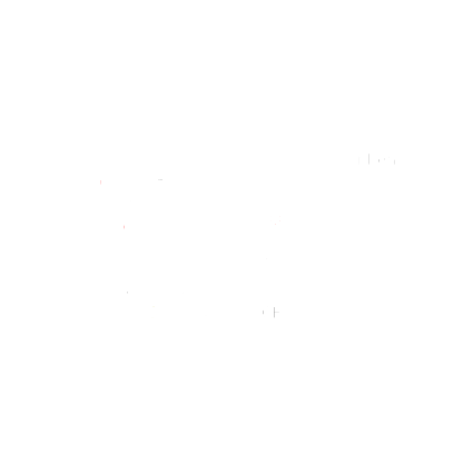 C=C(C)C(=O)OC(C)CC(C)(C)Sc1ccc(-c2cc3ccc(CCCCC)cc3o2)c(C(F)(F)F)c1